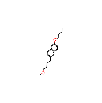 CCCCOc1ccc2cc(CCCCOC)ccc2c1